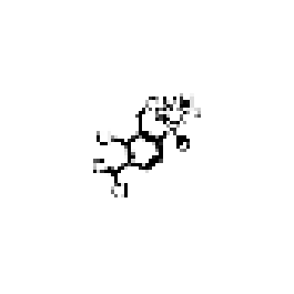 COCc1c(S(C)(=O)=O)ccc(C(=O)Cl)c1Cl